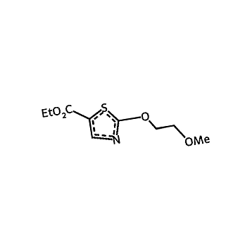 CCOC(=O)c1cnc(OCCOC)s1